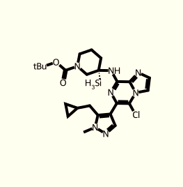 Cn1ncc(-c2nc(N[C@]3([SiH3])CCCN(C(=O)OC(C)(C)C)C3)c3nccn3c2Cl)c1CC1CC1